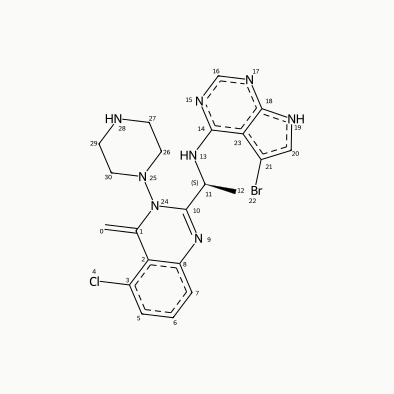 C=C1c2c(Cl)cccc2N=C([C@H](C)Nc2ncnc3[nH]cc(Br)c23)N1N1CCNCC1